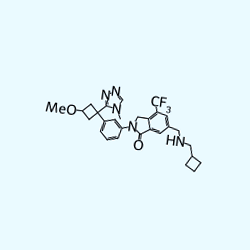 COC1CC(c2cccc(N3Cc4c(cc(CNCC5CCC5)cc4C(F)(F)F)C3=O)c2)(c2nncn2C)C1